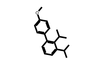 COc1c[c]c(-c2cccc(C(C)C)c2C(C)C)cc1